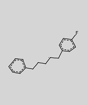 Fc1ccc(C[CH]CCCc2ccccc2)cc1